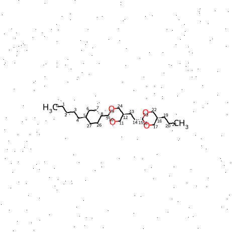 CCCCC[C@H]1CC[C@H]([C@H]2OC[C@H](CC[C@H]3OC[C@H](CCC)CO3)CO2)CC1